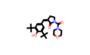 CC(C)(C)c1cc(C=C2CCN(C(=O)N3CCOCC3)C2=O)cc(C(C)(C)C)c1O